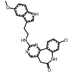 COc1ccc2[nH]cc(CCNc3ncc4c(n3)-c3ccc(Cl)cc3NC(=O)C4)c2c1